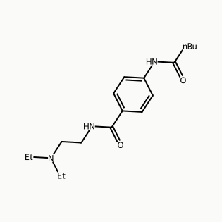 CCCCC(=O)Nc1ccc(C(=O)NCCN(CC)CC)cc1